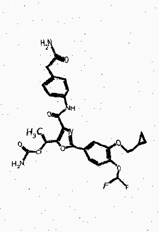 CC(OC(N)=O)c1oc(-c2ccc(OC(F)F)c(OCC3CC3)c2)nc1C(=O)Nc1ccc(CC(N)=O)cc1